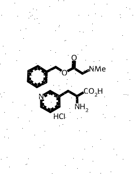 CNCC(=O)OCc1ccccc1.Cl.NC(Cc1cccnc1)C(=O)O